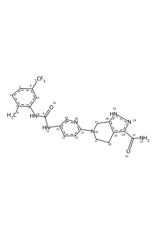 Cc1ccc(C(F)(F)F)cc1NC(=O)Nc1ccc(N2CCc3c(C(N)=O)n[nH]c3C2)nc1